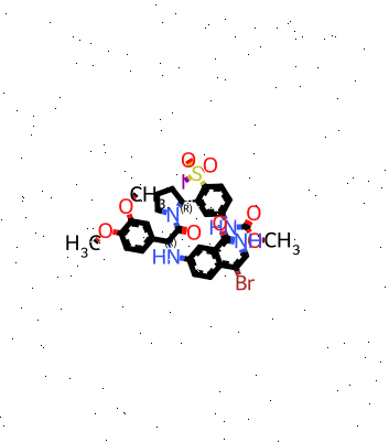 COC(=O)Nc1ccc(S(=O)(=O)I)c([C@H]2CCCN2C(=O)[C@H](Nc2ccc3c(Br)c[nH]c(=O)c3c2)c2ccc(OC)c(OC)c2)c1